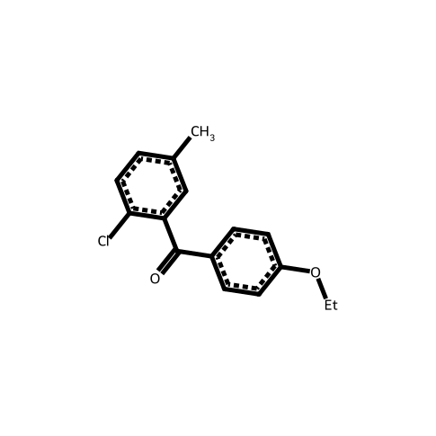 CCOc1ccc(C(=O)c2cc(C)ccc2Cl)cc1